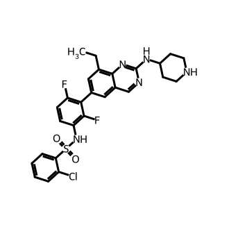 CCc1cc(-c2c(F)ccc(NS(=O)(=O)c3ccccc3Cl)c2F)cc2cnc(NC3CCNCC3)nc12